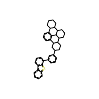 c1cc(-c2cccc3c2sc2ccccc23)cc(C2CCC3C(C2)c2cccc4c2C2C(CCCC32)C2CCCCC42)c1